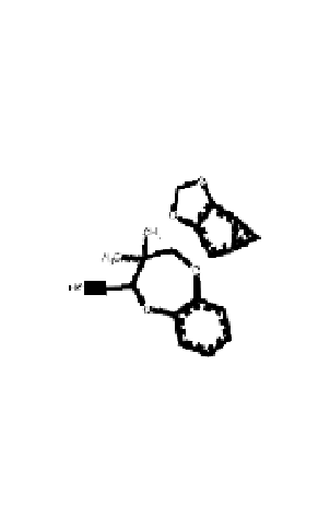 C#CC1Oc2ccccc2OCC1(C)C.c1c2cc-2c2c1OCO2